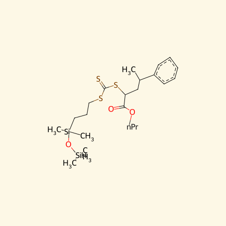 CCCOC(=O)C(CC(C)c1ccccc1)SC(=S)SCCC[Si](C)(C)O[SiH](C)C